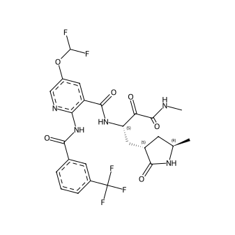 CNC(=O)C(=O)[C@H](C[C@@H]1C[C@@H](C)NC1=O)NC(=O)c1cc(OC(F)F)cnc1NC(=O)c1cccc(C(F)(F)F)c1